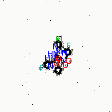 O=C(NC(=O)c1ccc(F)cn1)Oc1ccccc1.O=C(NNc1ccc(Cl)cn1)NC(=O)c1ccc(F)cn1